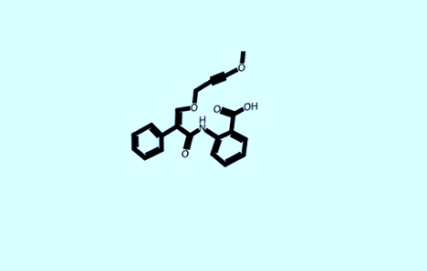 COC#CCOC=C(C(=O)Nc1ccccc1C(=O)O)c1ccccc1